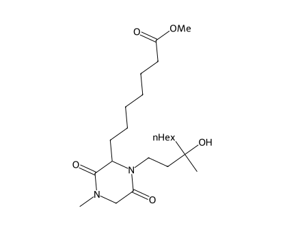 CCCCCCC(C)(O)CCN1C(=O)CN(C)C(=O)C1CCCCCCC(=O)OC